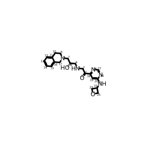 O=C(CNC[C@H](O)CN1CCc2ccccc2C1)c1cc(NC2COC2)ncn1